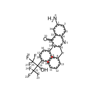 Nc1ccc2nc(Cc3ccccc3)n(-c3ccc(C(O)(C(F)(F)F)C(F)(F)F)cc3)c(=O)c2c1